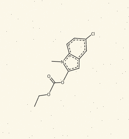 CCOC(=O)Oc1cc2cc(Cl)ccc2n1C